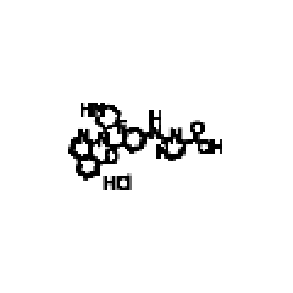 Cc1cccc2ccnc(N(C(=O)c3ccc(Nc4nccc(C(=O)O)n4)cc3F)[C@@H]3CCCNC3)c12.Cl